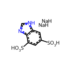 O=S(=O)(O)c1cc(S(=O)(=O)O)c2nc[nH]c2c1.[NaH].[NaH]